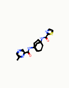 Cc1cncc(C(=O)NC23CCCC(NC(=O)c4nccs4)(CC2)C3)n1